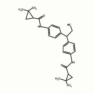 CC1(C)CC1C(=O)Nc1ccc(C(CC#N)c2ccc(NC(=O)C3CC3(C)C)cc2)cc1